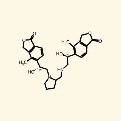 Cc1c([C@H](O)CNCC2CCCN2C[C@H](O)c2ccc3c(c2C)COC3=O)ccc2c1COC2=O